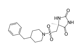 C[C@]1(CS(=O)(=O)N2CCC(Cc3ccccc3)CC2)NC(=O)NC1=O